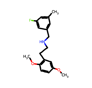 COc1ccc(OC)c(CCNCc2cc(C)cc(F)c2)c1